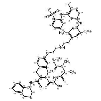 COc1cc(CCNCCOc2ccc3c(c2)CN(C(=O)[C@@H](NC(=O)[C@@H](C)N(C)C(=O)OC(C)(C)C)C(C)(C)C)[C@@H](C(=O)N[C@@H]2CCCc4ccccc42)C3)c(C)cc1Nc1ncc(Cl)c(Nc2ccccc2S(=O)(=O)C(C)C)n1